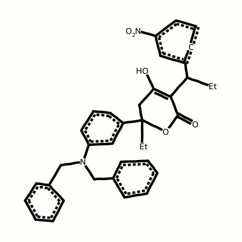 CCC(C1=C(O)CC(CC)(c2cccc(N(Cc3ccccc3)Cc3ccccc3)c2)OC1=O)c1cccc([N+](=O)[O-])c1